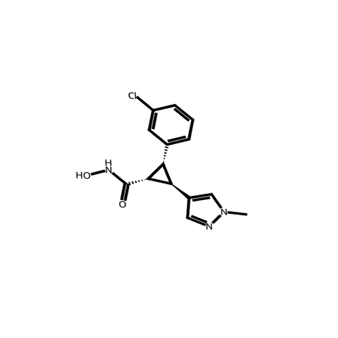 Cn1cc([C@H]2[C@H](C(=O)NO)[C@@H]2c2cccc(Cl)c2)cn1